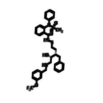 CS(=O)(=O)N(c1ccccc1)c1ccccc1C(=O)NSCC[C@H](Cc1ccccc1)[C@@H](O)CNCc1cccc(OC(F)(F)F)c1